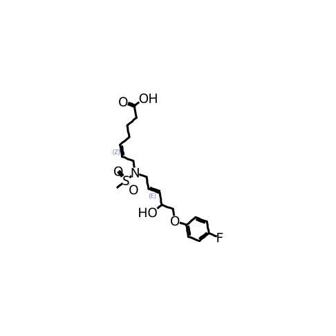 CS(=O)(=O)N(C/C=C\CCCC(=O)O)C/C=C/C(O)COc1ccc(F)cc1